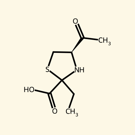 CCC1(C(=O)O)N[C@H](C(C)=O)CS1